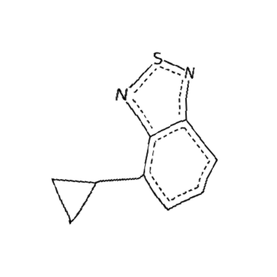 c1cc(C2CC2)c2nsnc2c1